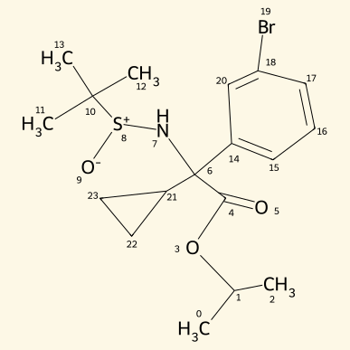 CC(C)OC(=O)C(N[S+]([O-])C(C)(C)C)(c1cccc(Br)c1)C1CC1